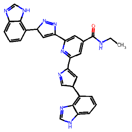 CCNC(=O)c1cc(C2=CC(c3cccc4[nH]cnc34)C=N2)nc(C2=CC(c3cccc4nc[nH]c34)N=N2)c1